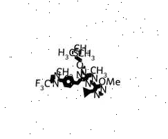 COc1ncnc(C2CC2)c1-c1nc(C)c2c(n1)c(Cc1ccc(-c3nc(C(F)(F)F)cn3C)cc1)nn2COCC[Si](C)(C)C